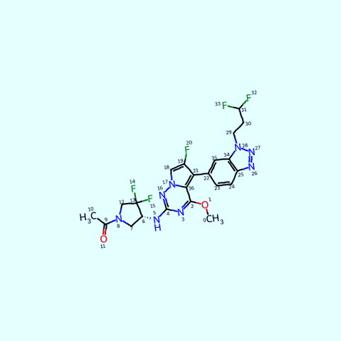 COc1nc(N[C@@H]2CN(C(C)=O)CC2(F)F)nn2cc(F)c(-c3ccc4nnn(CCC(F)F)c4c3)c12